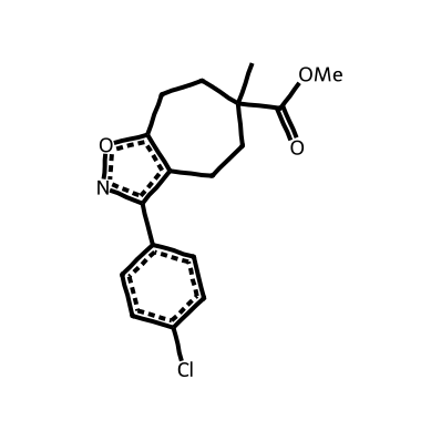 COC(=O)C1(C)CCc2onc(-c3ccc(Cl)cc3)c2CC1